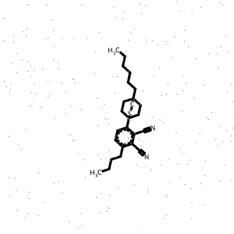 CCCCCCC12CCC(c3ccc(CCCC)c(C#N)c3C#N)(CC1)CC2